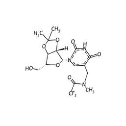 CN(Cc1cn([C@@H]2O[C@H](CO)C3OC(C)(C)O[C@@H]32)c(=O)[nH]c1=O)C(=O)C(F)(F)F